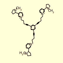 CN1CCCC1c1ccc[n+](CCCC#Cc2cc(C#CCCC[n+]3cccc(C4CCCN4C)c3)cc(C#CCCC[n+]3cccc(C4CCCN4C)c3)c2)c1